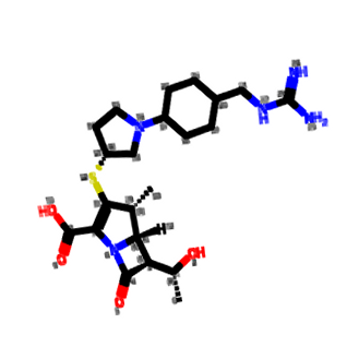 C[C@@H](O)[C@H]1C(=O)N2C(C(=O)O)=C(S[C@@H]3CCN(C4CCC(CNC(=N)N)CC4)C3)[C@H](C)[C@H]12